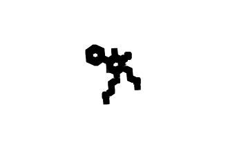 COCCSc1nc(-c2ccccc2)c(C)c(=O)n1CCOC